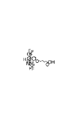 Cc1cccc(OCCCCCC(=O)O)c1Cn1c(C(F)(F)F)cnc1-c1ccc(OC(F)(F)F)cc1